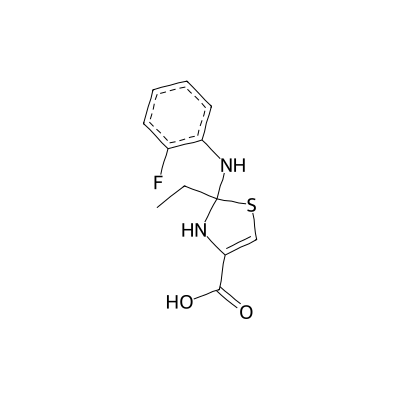 CCC1(Nc2ccccc2F)NC(C(=O)O)=CS1